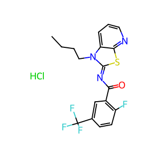 CCCCn1/c(=N/C(=O)c2cc(C(F)(F)F)ccc2F)sc2ncccc21.Cl